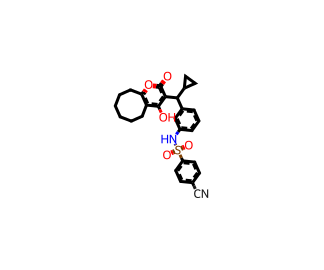 N#Cc1ccc(S(=O)(=O)Nc2cccc(C(c3c(O)c4c(oc3=O)CCCCCC4)C3CC3)c2)cc1